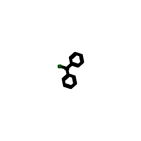 Cl[As](c1ccccc1)c1ccccc1